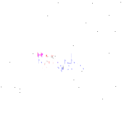 CCNC(=O)[C@H]1O[C@@H](On2cnc3cnc(NC4CCNC4)nc32)[C@H](O)[C@@H]1O